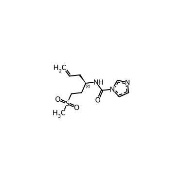 C=CC[C@H](CCS(C)(=O)=O)NC(=O)n1ccnc1